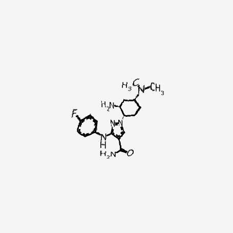 CN(C)[C@H]1CC[C@H](n2cc(C(N)=O)c(Nc3ccc(F)cc3)n2)[C@@H](N)C1